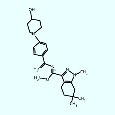 C=C(/N=C(\ON)c1nn(C)c2c1CCC(C)(C)C2)c1ccc(N2CCC(O)CC2)cc1